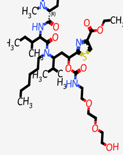 CCCCCCN(C(=O)C(NC(=O)[C@H]1CCCCN1C)C(C)CC)C(CC(OC(=O)NCCOCCOCCO)c1nc(C(=O)OCC)cs1)C(C)C